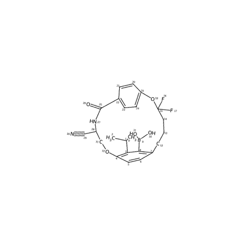 CC(C)c1c2ccc(c1B(O)O)CCCC(F)(F)Oc1ccc(cc1)C(=O)NC(C#N)CO2